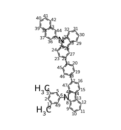 Cc1cc(C)cc(-n2c3ccccc3c3ccc(-c4ccc(-c5ccc6c(c5)c5ccccc5n6-c5ccc6ccccc6c5)cc4)cc32)c1